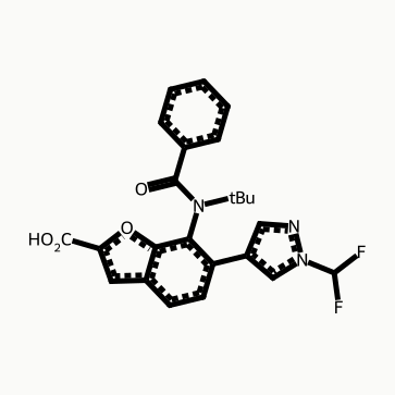 CC(C)(C)N(C(=O)c1ccccc1)c1c(-c2cnn(C(F)F)c2)ccc2cc(C(=O)O)oc12